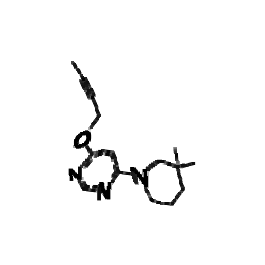 CC#CCOc1cc(N2CCCC(C)(C)C2)ncn1